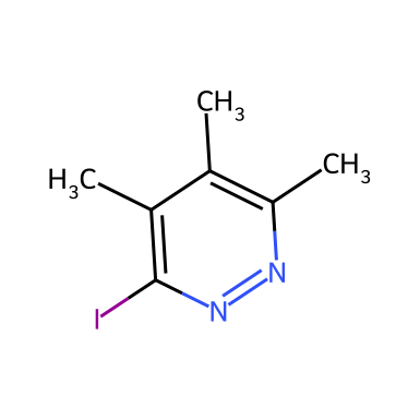 Cc1nnc(I)c(C)c1C